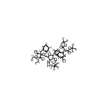 CCOC(=O)C(Cc1ccccc1)(OC[C@H]1O[C@@H](n2cnc3c(N(C(=O)OC(C)(C)C)C(=O)OC(C)(C)C)nc(Cl)nc32)[C@H](O[Si](C)(C)C(C)(C)C)[C@@H]1N)C(=O)OCC